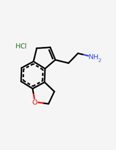 Cl.NCCC1=CCc2ccc3c(c21)CCO3